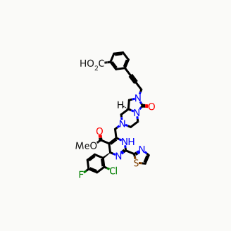 COC(=O)C1=C(CN2CCN3C(=O)N(CC#Cc4cccc(C(=O)O)c4)C[C@@H]3C2)NC(c2nccs2)=N[C@H]1c1ccc(F)cc1Cl